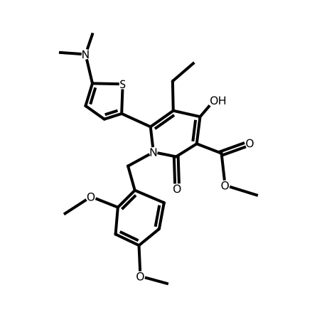 CCc1c(O)c(C(=O)OC)c(=O)n(Cc2ccc(OC)cc2OC)c1-c1ccc(N(C)C)s1